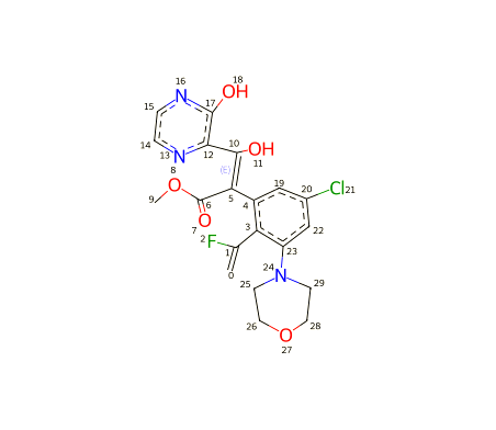 C=C(F)c1c(/C(C(=O)OC)=C(\O)c2nccnc2O)cc(Cl)cc1N1CCOCC1